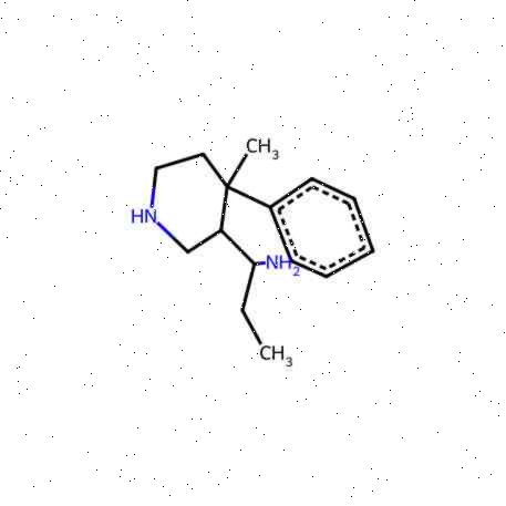 CCC(N)C1CNCCC1(C)c1ccccc1